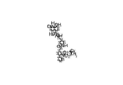 C[N+]1(C)CCC(OC(=O)Nc2cc(CCC(=O)Nc3ccc(CCCNC[C@@H](O)c4ccc(O)c5[nH]c(=O)ccc45)cc3)ccc2-c2ccccc2)CC1